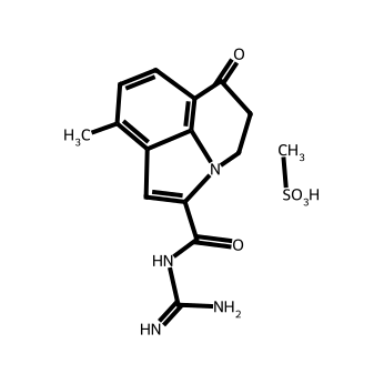 CS(=O)(=O)O.Cc1ccc2c3c1cc(C(=O)NC(=N)N)n3CCC2=O